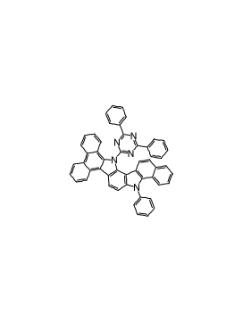 c1ccc(-c2nc(-c3ccccc3)nc(-n3c4c5ccccc5c5ccccc5c4c4ccc5c(c6ccc7ccccc7c6n5-c5ccccc5)c43)n2)cc1